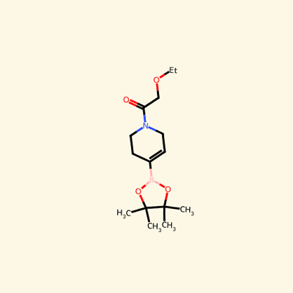 CCOCC(=O)N1CC=C(B2OC(C)(C)C(C)(C)O2)CC1